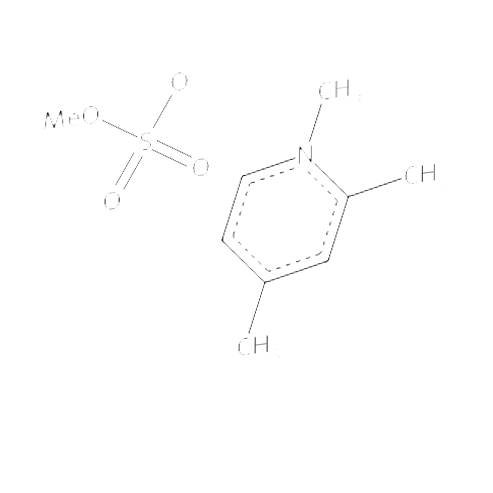 COS(=O)(=O)[O-].Cc1cc[n+](C)c(C)c1